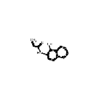 C=CC(=O)Nc1ccc2ccccc2c1O